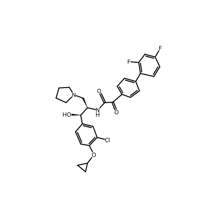 O=C(N[C@H](CN1CCCC1)[C@H](O)c1ccc(OC2CC2)c(Cl)c1)C(=O)c1ccc(-c2ccc(F)cc2F)cc1